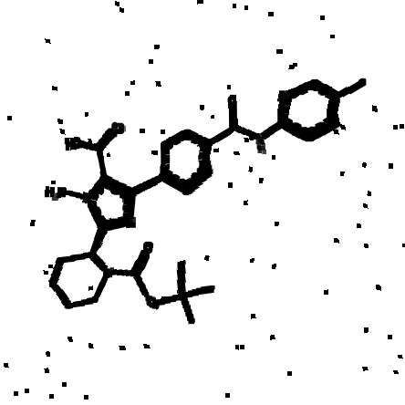 Cc1ccc(NC(=O)c2ccc(-c3nc([C@@H]4CCCCN4C(=O)OC(C)(C)C)n(N)c3C(=O)O)cc2)nc1